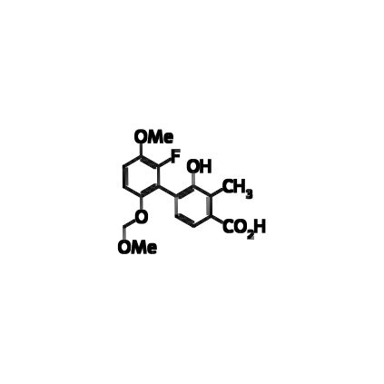 COCOc1ccc(OC)c(F)c1-c1ccc(C(=O)O)c(C)c1O